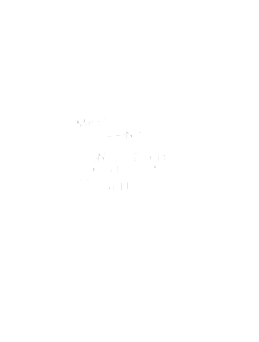 CSC1=NC(C)C(C)N1.I